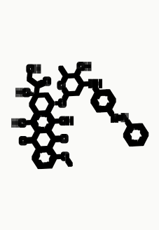 COc1cccc2c1C(=O)c1c(O)c3c(c(O)c1C2=O)C[C@@](O)(C(=O)CO)C[C@@H]3OC1CC(Nc2ccc(/N=N/c3ccccc3)cc2)C(O)C(C)O1